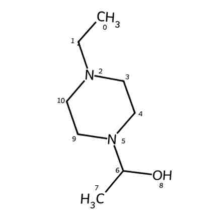 C[CH]N1CCN(C(C)O)CC1